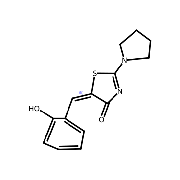 O=C1N=C(N2CCCC2)S/C1=C/c1ccccc1O